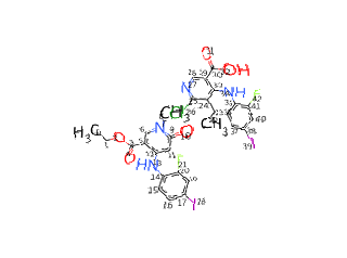 CCOC(=O)c1cn(C)c(=O)cc1Nc1ccc(I)cc1F.CCc1c(Cl)ncc(C(=O)O)c1Nc1ccc(I)cc1F